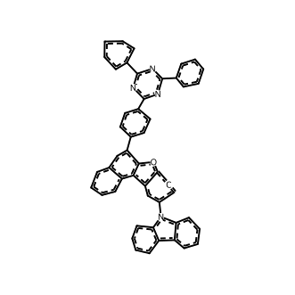 c1ccc(-c2nc(-c3ccccc3)nc(-c3ccc(-c4cc5ccccc5c5c4oc4ccc(-n6c7ccccc7c7ccccc76)cc45)cc3)n2)cc1